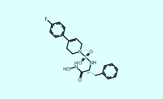 O=C(NO)[C@@H](Cc1ccccc1)NS(=O)(=O)N1CC=C(c2ccc(F)cc2)CC1